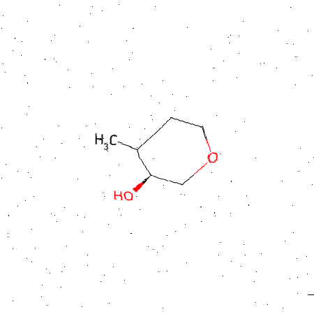 CC1CCOC[C@H]1O